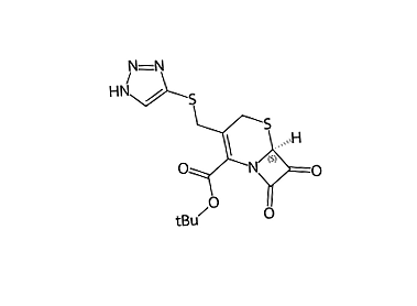 CC(C)(C)OC(=O)C1=C(CSc2c[nH]nn2)CS[C@H]2C(=O)C(=O)N12